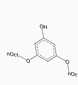 CCCCCCCCOc1cc(O)cc(OCCCCCCCC)c1